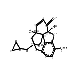 COc1ccc2c3c1O[C@H]1C(=O)C=C[C@@]4(Cl)C(C2)N(CC2CC2)CCC314